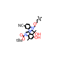 Cc1cc(O)c(C(C)(O)c2nc3cc(C#N)ccc3n2COCC[Si](C)(C)C)c2ccn(C(=O)OC(C)(C)C)c12